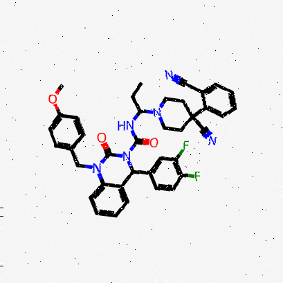 CCC(NC(=O)N1C(=O)N(Cc2ccc(OC)cc2)c2ccccc2C1c1ccc(F)c(F)c1)N1CCC(C#N)(c2ccccc2C#N)CC1